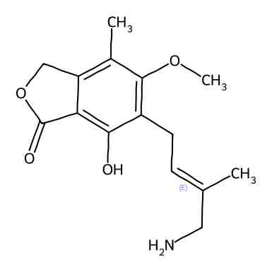 COc1c(C)c2c(c(O)c1C/C=C(\C)CN)C(=O)OC2